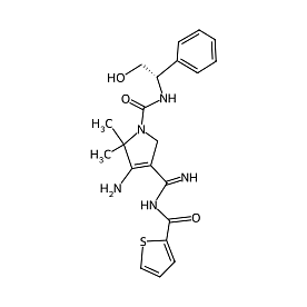 CC1(C)C(N)=C(C(=N)NC(=O)c2cccs2)CN1C(=O)N[C@H](CO)c1ccccc1